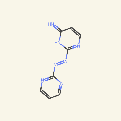 N=c1ccnc(N=Nc2ncccn2)[nH]1